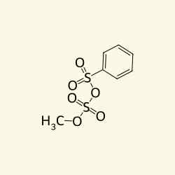 COS(=O)(=O)OS(=O)(=O)c1ccccc1